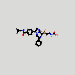 O=C(O)NCC[S+]([O-])c1nc(-c2ccccc2)cn2c(-c3ccc(C(=O)NC4CC4)cc3)cnc12